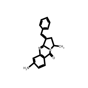 CC1CC(=Cc2ccccc2)c2nc3cc(N)ccc3c(=O)n21